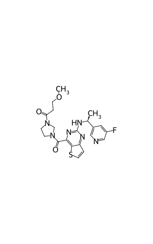 COCCC(=O)N1CCN(C(=O)c2nc(N[C@@H](C)c3cncc(F)c3)nc3ccsc23)C1